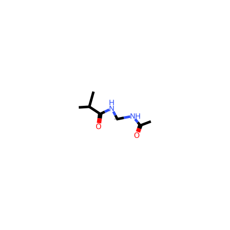 CC(=O)N[CH]NC(=O)C(C)C